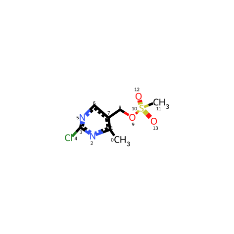 Cc1nc(Cl)ncc1COS(C)(=O)=O